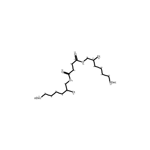 CCCCCCCCCCCCCCC(CC)COC(=O)CCC(=O)OCC(CC)CCCCCCCCCCCCCC